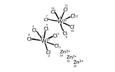 [Cl][W-3]([Cl])([Cl])([Cl])([Cl])[Cl].[Cl][W-3]([Cl])([Cl])([Cl])([Cl])[Cl].[Zn+2].[Zn+2].[Zn+2]